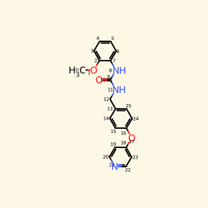 COc1ccccc1NC(=O)NCc1ccc(Oc2ccncc2)cc1